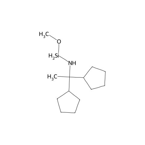 CO[SiH2]NC(C)(C1CCCC1)C1CCCC1